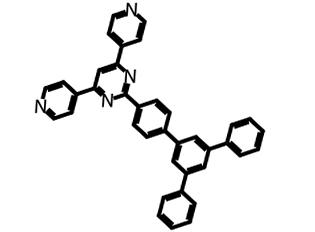 c1ccc(-c2cc(-c3ccccc3)cc(-c3ccc(-c4nc(-c5ccncc5)cc(-c5ccncc5)n4)cc3)c2)cc1